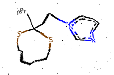 CCCC1(Cn2ccnc2)SCCCS1